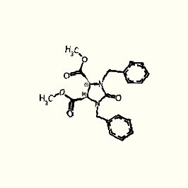 COC(=O)[C@@H]1[C@H](C(=O)OC)N(Cc2ccccc2)C(=O)N1Cc1ccccc1